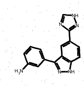 Nc1cccc(-c2n[nH]c3ccc(-c4nc[nH]n4)cc23)c1